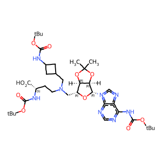 CC(C)(C)OC(=O)Nc1ncnc2c1ncn2[C@@H]1O[C@H](CN(CC[C@H](NC(=O)OC(C)(C)C)C(=O)O)CC2CC(NC(=O)OC(C)(C)C)C2)[C@H]2OC(C)(C)O[C@H]21